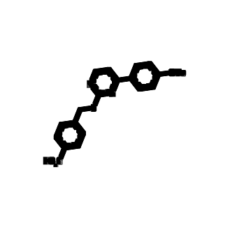 COc1ccc(-c2ccnc(SCc3ccc(C(=O)O)cc3)n2)cc1